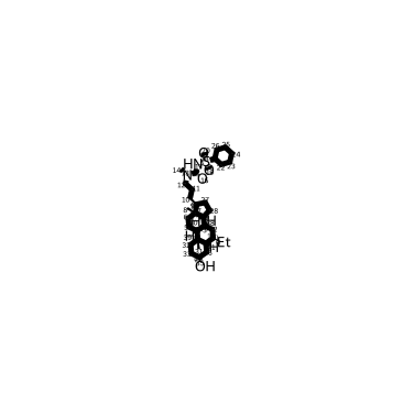 CC[C@H]1C[C@@H]2[C@H](CC[C@]3(C)[C@@H](CCCN(C)C(=O)NS(=O)(=O)C4CCCCC4)CC[C@@H]23)[C@@]2(C)CC[C@@H](O)C[C@@H]12